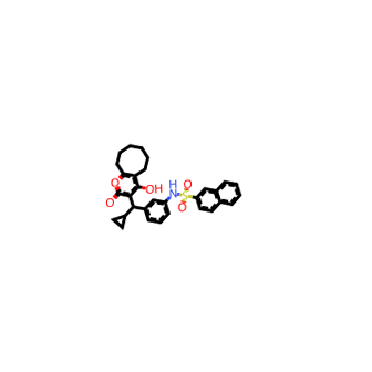 O=c1oc2c(c(O)c1C(c1cccc(NS(=O)(=O)c3ccc4ccccc4c3)c1)C1CC1)CCCCCC2